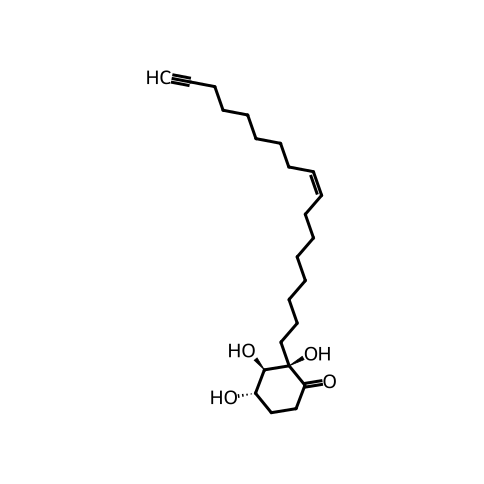 C#CCCCCCC/C=C\CCCCCCC[C@]1(O)C(=O)CC[C@H](O)[C@H]1O